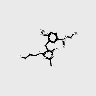 CCCCNc1nc(N)nc(C)c1Cc1cc([PH](=O)OCC)ccc1OC